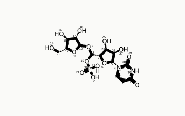 O=c1ccn([C@@H]2O[C@H](C(OC3O[C@H](CO)[C@@H](O)[C@@H]3O)OP(=O)(O)O)[C@@H](O)[C@H]2O)c(=O)[nH]1